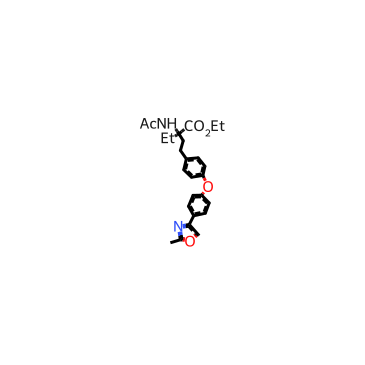 CCOC(=O)C(CC)(CCc1ccc(Oc2ccc(-c3coc(C)n3)cc2)cc1)NC(C)=O